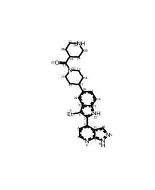 CCc1c(-c2ccnc3[nH]ncc23)[nH]c2ccc(C3CCN(C(=O)C4CCNCC4)CC3)cc12